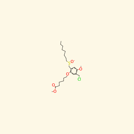 CCCCCCCC[S+]([O-])Cc1cc(OC)c(CCl)cc1OCCCCCC(=O)OC